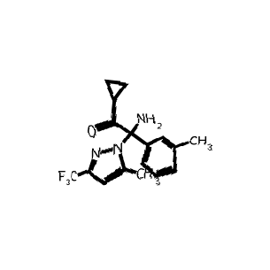 Cc1cccc(C(N)(C(=O)C2CC2)n2nc(C(F)(F)F)cc2C)c1